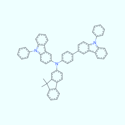 CC1(C)c2ccccc2-c2ccc(N(c3ccc(-c4ccc5c(c4)c4ccccc4n5-c4ccccc4)cc3)c3ccc4c(c3)c3ccccc3n4-c3ccccc3)cc21